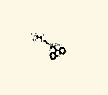 C=C(C)C(=O)OCCNC(=O)C(C=O)=C1c2ccccc2Sc2ccccc21